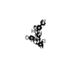 COc1ccc(N2C(=O)N(c3c(C)cncc3Cl)Cc3cnc(Nc4ccc(C5CCN(C)CC5)cc4OC)nc32)nc1